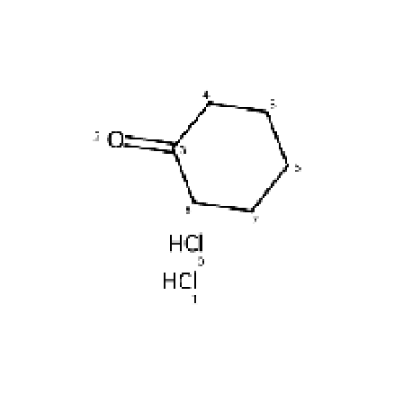 Cl.Cl.O=C1CCCCC1